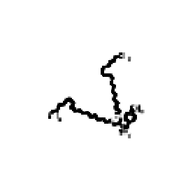 CCCCC/C=C\C/C=C\CCCCCCCCOCC(COCCCCCCCC/C=C\C/C=C\CCCCC)N(C)CC1CCN(C)CC1